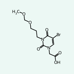 COCOCCCn1c(=O)c(Br)cn(CC(=O)O)c1=O